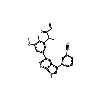 C=CC(=O)N(C)c1cc(-c2cnc3[nH]cc(-c4cccc(C#N)c4)c3c2)cc(OC)c1F